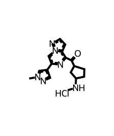 CNC1CCC(C(=O)c2nc(-c3cnn(C)c3)cn3nccc23)C1.Cl